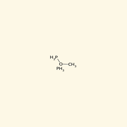 COP.P